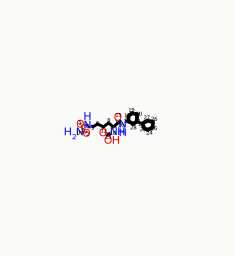 NS(=O)(=O)NCCCCC(NC(=O)O)C(=O)Nc1cccc(-c2ccccc2)c1